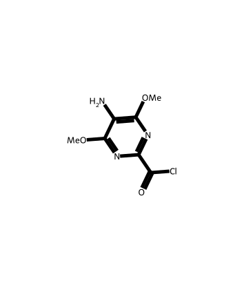 COc1nc(C(=O)Cl)nc(OC)c1N